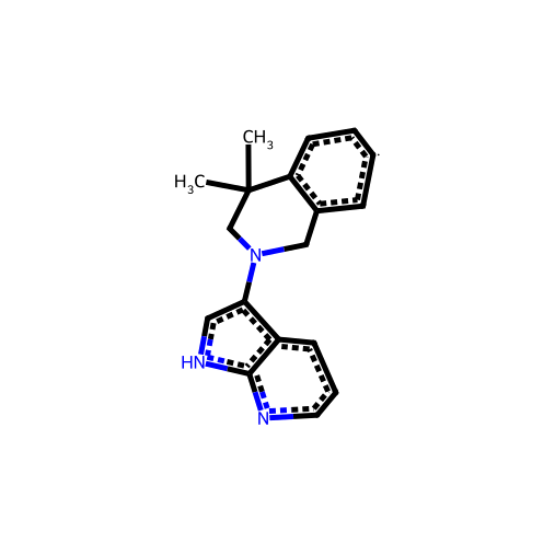 CC1(C)CN(c2c[nH]c3ncccc23)Cc2c[c]ccc21